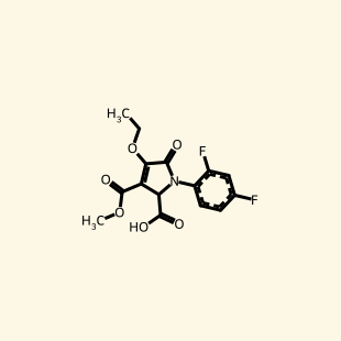 CCOC1=C(C(=O)OC)C(C(=O)O)N(c2ccc(F)cc2F)C1=O